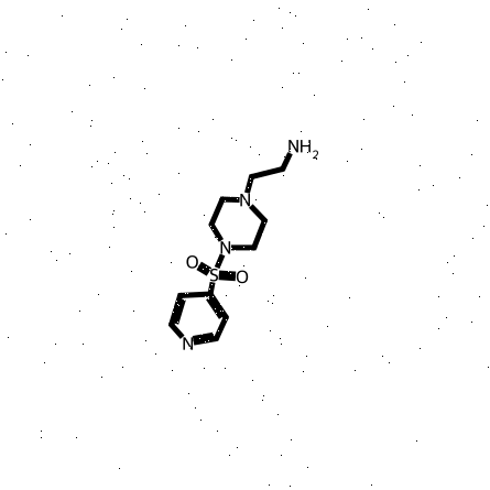 NCCN1CCN(S(=O)(=O)c2ccncc2)CC1